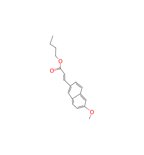 CCCCOC(=O)C=Cc1ccc2cc(OC)ccc2c1